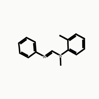 Cc1ccccc1N(C)C=Nc1ccccc1